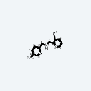 Fc1cccnc1CNCc1ccc(Br)cn1